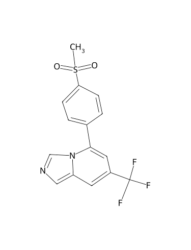 CS(=O)(=O)c1ccc(-c2cc(C(F)(F)F)cc3cncn23)cc1